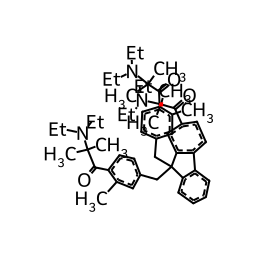 CCN(CC)C(C)(C)C(=O)c1ccc2c(c1)C(Cc1ccc(C(=O)C(C)(C)N(CC)CC)c(C)c1)(Cc1ccc(C(=O)C(C)(C)N(CC)CC)c(C)c1)c1ccccc1-2